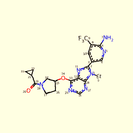 CCn1c(-c2cnc(N)c(C(F)(F)F)c2)nc2c(OC3CCN(C(=O)C4CC4)C3)ncnc21